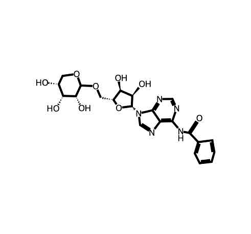 O=C(Nc1ncnc2c1ncn2[C@@H]1O[C@H](COC2OC[C@@H](O)[C@@H](O)[C@H]2O)[C@@H](O)[C@H]1O)c1ccccc1